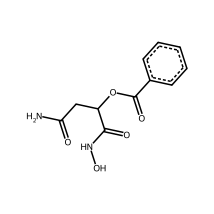 NC(=O)CC(OC(=O)c1ccccc1)C(=O)NO